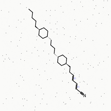 CCCCC[C@H]1CC[C@H](CCCC[C@H]2CC[C@H](CC/C=C/C=C/C#N)CC2)CC1